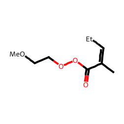 CCC=C(C)C(=O)OOCCOC